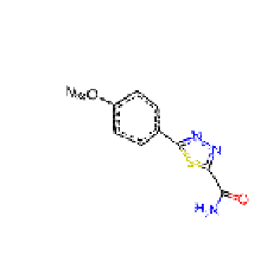 COc1ccc(-c2nnc(C(N)=O)s2)cc1